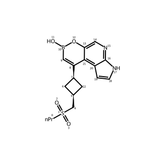 CCCS(=O)(=O)C[C@H]1C[C@@H](C2=CB(O)Oc3cnc4[nH]ccc4c32)C1